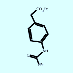 CCCC(=O)Nc1ccc(CC(=O)OCC)cc1